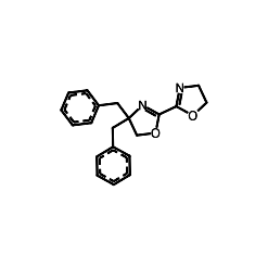 c1ccc(CC2(Cc3ccccc3)COC(C3=NCCO3)=N2)cc1